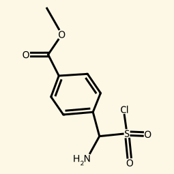 COC(=O)c1ccc(C(N)S(=O)(=O)Cl)cc1